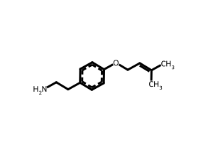 CC(C)=CCOc1ccc(CCN)cc1